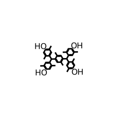 Cc1cc(C(c2cc(C)c(O)cc2C)c2cc(C)c(C(c3cc(C)c(O)cc3C)c3cc(C)c(O)cc3C)cc2C)c(C)cc1O